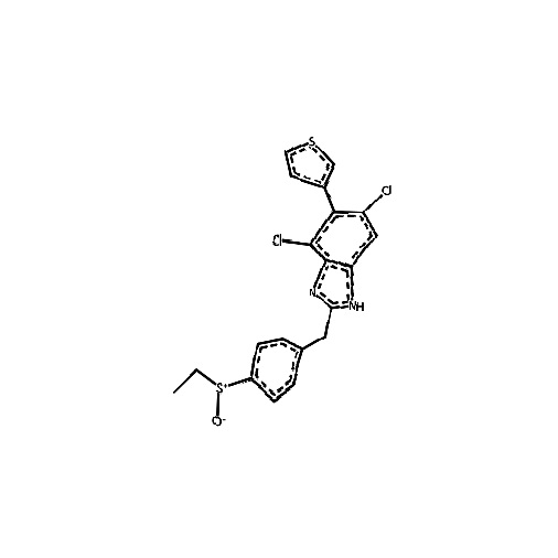 CC[S+]([O-])c1ccc(Cc2nc3c(Cl)c(-c4ccsc4)c(Cl)cc3[nH]2)cc1